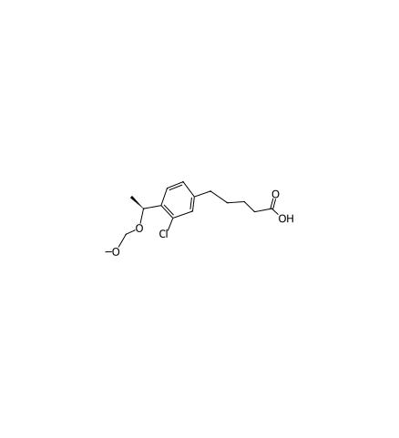 COCO[C@@H](C)c1ccc(CCCCC(=O)O)cc1Cl